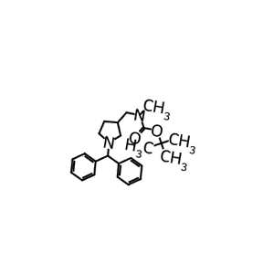 CN(CC1CCN(C(c2ccccc2)c2ccccc2)C1)C(=O)OC(C)(C)C